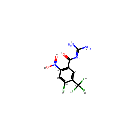 NC(N)=NC(=O)c1cc(C(F)(F)F)c(Br)cc1[N+](=O)[O-]